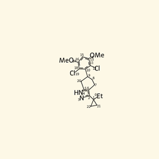 CCC1(c2n[nH]c3c2CCC(c2c(Cl)c(OC)cc(OC)c2Cl)C3)CC1